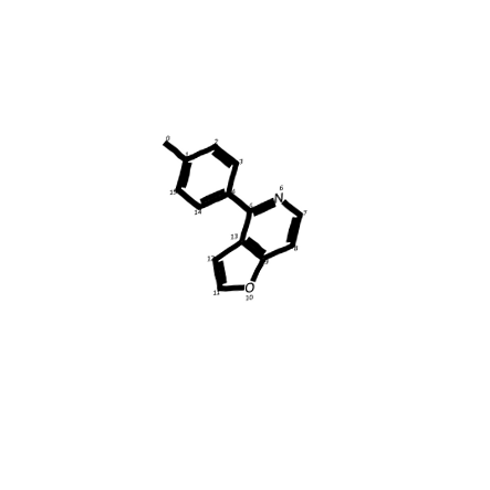 Cc1ccc(-c2nccc3occc23)cc1